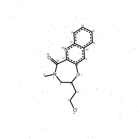 CN1CC(CCCl)Oc2cc3ccccc3nc2C1=O